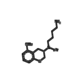 CCCN(CCCCN)C1COc2cccc(OC)c2C1